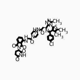 Cc1sc2c(c1C)C(c1ccc(Cl)cc1)=N[C@@H](CC(=O)NN1CCN(C(=O)CNc3cccc4c3C(=O)N(C3CCC(=O)NC3=O)C4=O)CC1)c1nnc(C)n1-2